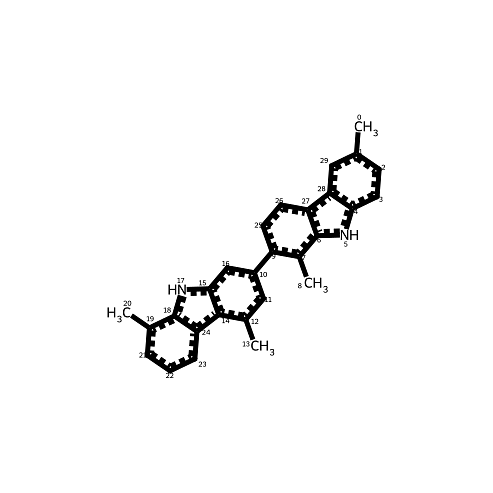 Cc1ccc2[nH]c3c(C)c(-c4cc(C)c5c(c4)[nH]c4c(C)cccc45)ccc3c2c1